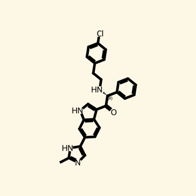 Cc1ncc(-c2ccc3c(C(=O)[C@H](NCCc4ccc(Cl)cc4)c4ccccc4)c[nH]c3c2)[nH]1